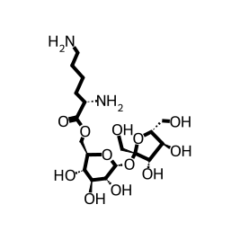 NCCCC[C@H](N)C(=O)OC[C@H]1O[C@H](O[C@]2(CO)O[C@H](CO)[C@@H](O)[C@@H]2O)[C@H](O)[C@@H](O)[C@@H]1O